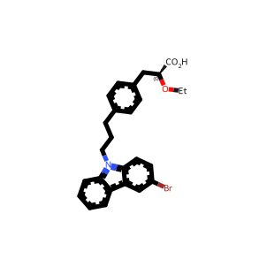 CCO[C@@H](Cc1ccc(CCCn2c3ccccc3c3cc(Br)ccc32)cc1)C(=O)O